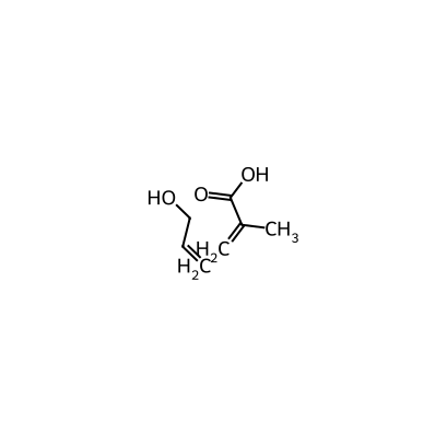 C=C(C)C(=O)O.C=CCO